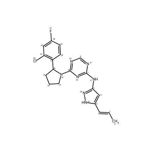 C/C=C/c1cc(Nc2ncnc(N3CCCC3c3ccc(F)cc3Cl)n2)n[nH]1